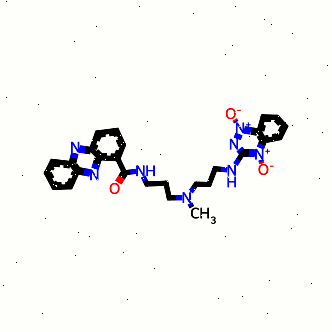 CN(CCCNC(=O)c1cccc2nc3ccccc3nc12)CCCNc1n[n+]([O-])c2ccccc2[n+]1[O-]